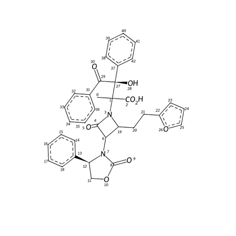 CC(C(=O)O)(N1C(=O)C(N2C(=O)OC[C@H]2c2ccccc2)C1CCc1ccco1)[C@](O)(C(=O)c1ccccc1)c1ccccc1